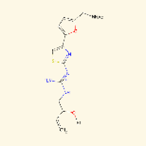 C=CC(CN/C(N)=N/c1nc(-c2ccc(CNC(C)=O)o2)cs1)OCC